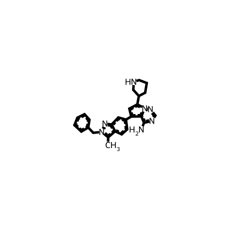 Cc1c2ccc(-c3cc(C4CCCNC4)n4ncnc(N)c34)cc2nn1Cc1ccccc1